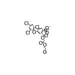 COCCOC(=O)COC(=O)c1cc(Oc2c(Cl)cc(Cl)cc2Cl)ccc1[N+](=O)[O-]